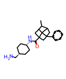 CC1C2CC3(C(=O)N[C@H]4CC[C@H](CN)CC4)CC4(c5ccccc5)CC1C234